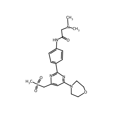 CN(C)CC(=O)Nc1ccc(-c2nc(CS(C)(=O)=O)cc(N3CCOCC3)n2)cc1